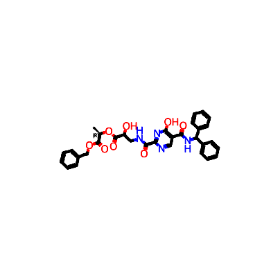 C[C@@H](OC(=O)C(O)CNC(=O)c1ncc(C(=O)NC(c2ccccc2)c2ccccc2)c(O)n1)C(=O)OCc1ccccc1